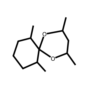 CC1CC(C)OC2(O1)C(C)CCCC2C